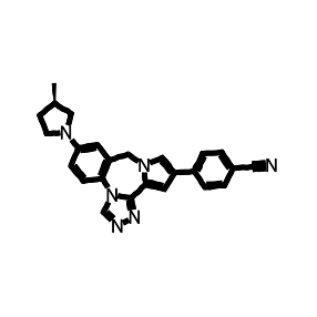 C[C@@H]1CCN(c2ccc3c(c2)Cn2cc(-c4ccc(C#N)cc4)cc2-c2nncn2-3)C1